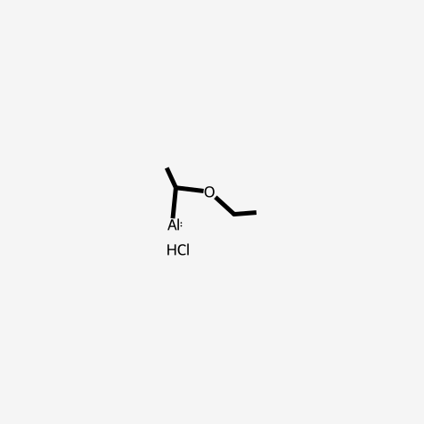 CCO[CH](C)[Al].Cl